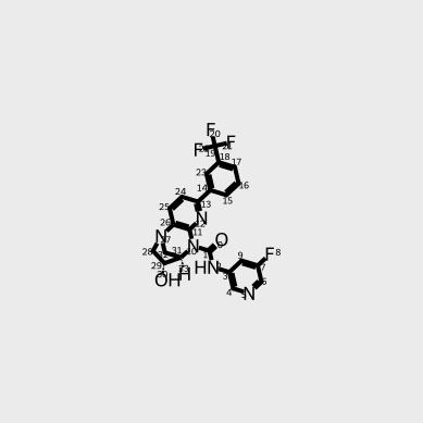 O=C(Nc1cncc(F)c1)N1c2nc(-c3cccc(C(F)(F)F)c3)ccc2N2C[C@@H](O)[C@H]1C2